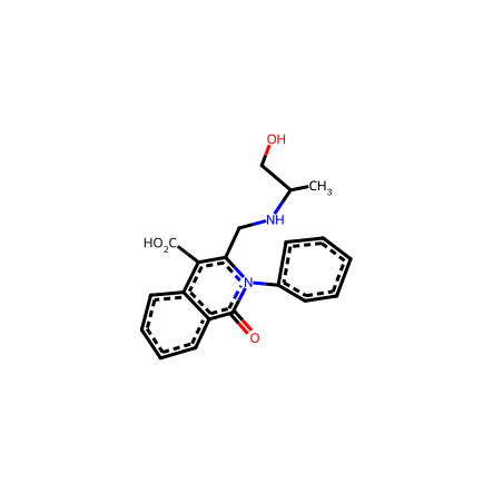 CC(CO)NCc1c(C(=O)O)c2ccccc2c(=O)n1-c1ccccc1